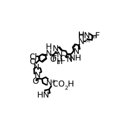 O=C(O)C[N+]1(CC2CNC2)CCC(C(=O)N2CCN(C(=O)c3ccc(NC(=O)c4ncc(Cc5c(C(F)(F)F)n[nH]c5-c5ccc(NC[C@@H]6C[C@H](F)CN6)cn5)[nH]4)cc3Cl)CC2)CC1